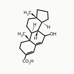 C[C@@]12CCC[C@H]1[C@@H]1C(O)C=C3C=C(C(=O)O)CC[C@]3(C)[C@H]1CC2